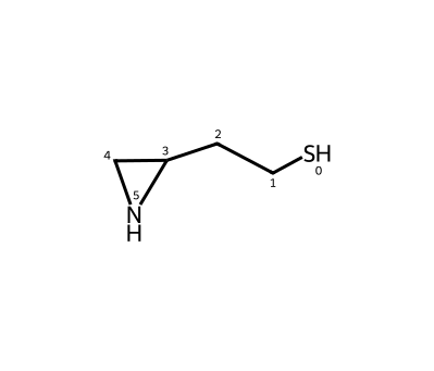 SCCC1CN1